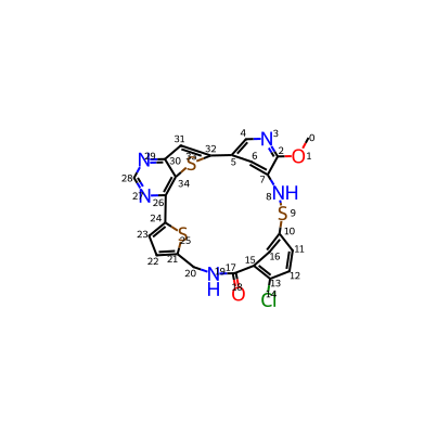 COc1ncc2cc1NSc1ccc(Cl)c(c1)C(=O)NCc1ccc(s1)-c1ncnc3cc-2sc13